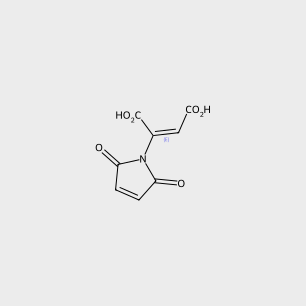 O=C(O)/C=C(\C(=O)O)N1C(=O)C=CC1=O